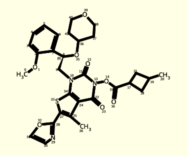 COc1ccccc1[C@H](Cn1c(=O)n(OC(=O)C2CC(C)C2)c(=O)c2c(C)c(-c3ncco3)sc21)OC1CCOCC1